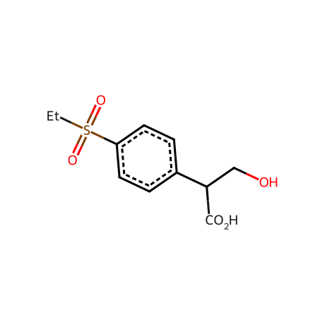 CCS(=O)(=O)c1ccc(C(CO)C(=O)O)cc1